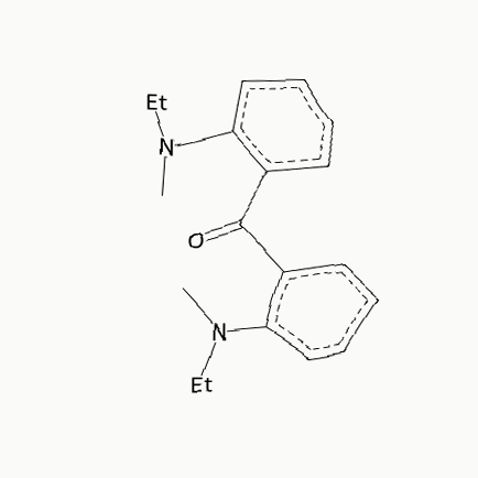 CCN(C)c1ccccc1C(=O)c1ccccc1N(C)CC